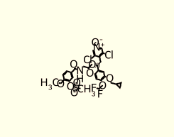 COc1ccc(C(=O)NCC(=O)O[C@@H](Cc2c(Cl)c[n+]([O-])cc2Cl)c2ccc(OC(F)F)c(OCC3CC3)c2)cc1OS(C)(=O)=O